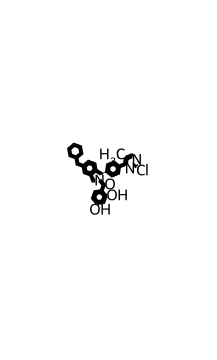 Cc1cnc(Cl)nc1-c1ccc([C@H]2c3ccc(CC4CCCCC4)cc3CN2C(=O)c2ccc(O)cc2O)cc1